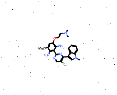 COc1cc(OCCN(C)C)c(N)c(-c2ncc(Cl)c(-c3cn(C)c4ccccc34)n2)c1N